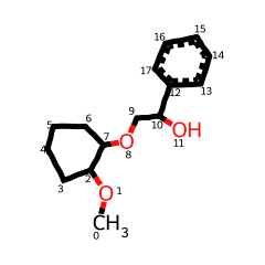 COC1C[CH]CCC1OCC(O)c1ccccc1